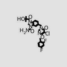 CC(C)(O)C(=O)N1CN(C(N)=O)c2cc(Cn3cnc(OCc4ccc(F)cc4F)c(Cl)c3=O)ccc21